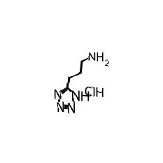 Cl.NCCCc1nnn[nH]1